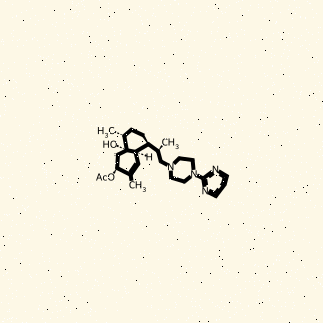 CC(=O)O[C@@H]1[C][C@@]2(O)[C@H](C)CC[C@@H]([C@H](C)CN3CCN(c4ncccn4)CC3)[C@H]2C=C1C